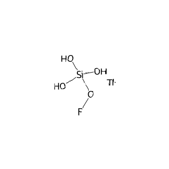 O[Si](O)(O)OF.[Tl]